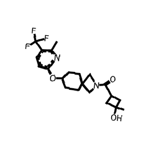 Cc1nc(OC2CCC3(CC2)CN(C(=O)C2CC(C)(O)C2)C3)ccc1C(F)(F)F